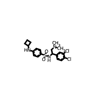 CN(C)CC(NS(=O)(=O)c1ccc(NC2CCC2)cc1)c1ccc(Cl)c(Cl)c1